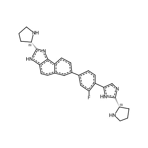 Fc1cc(-c2ccc3c(ccc4[nH]c([C@@H]5CCCN5)nc43)c2)ccc1-c1cnc([C@@H]2CCCN2)[nH]1